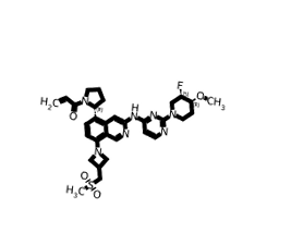 C=CC(=O)N1CCC[C@@H]1c1ccc(N2CC(CS(C)(=O)=O)C2)c2cnc(Nc3ccnc(N4CC[C@@H](OC)[C@@H](F)C4)n3)cc12